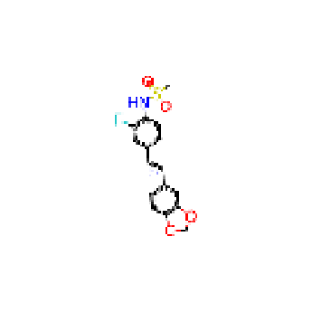 CS(=O)(=O)Nc1ccc(/C=C/c2ccc3c(c2)OCO3)cc1F